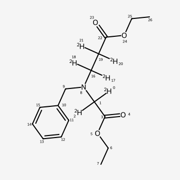 [2H]C([2H])(C(=O)OCC)N(Cc1ccccc1)C([2H])([2H])C([2H])([2H])C(=O)OCC